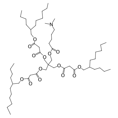 CCCCCCC(CCCC)COC(=O)CC(=O)OCC(COC(=O)CCCCN(C)C)(COC(=O)CC(=O)OCC(CCCC)CCCCCC)COC(=O)CC(=O)OCC(CCCC)CCCCCC